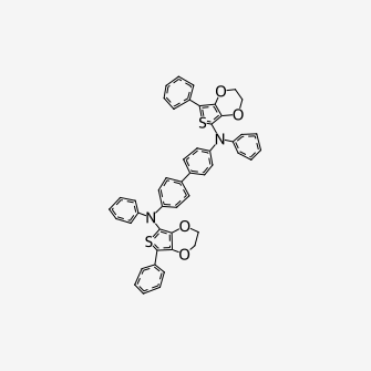 c1ccc(-c2sc(N(c3ccccc3)c3ccc(-c4ccc(N(c5ccccc5)c5sc(-c6ccccc6)c6c5OCCO6)cc4)cc3)c3c2OCCO3)cc1